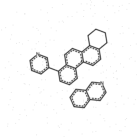 c1ccc2cnccc2c1.c1cncc(-c2cccc3c2ccc2c4c(ccc23)CCCC4)c1